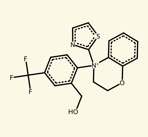 OCc1cc(C(F)(F)F)ccc1[N+]1(c2nccs2)CCOc2ccccc21